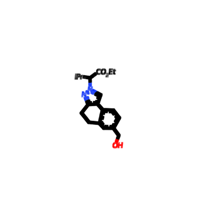 CCOC(=O)C(C(C)C)n1cc2c(n1)CCc1cc(CO)ccc1-2